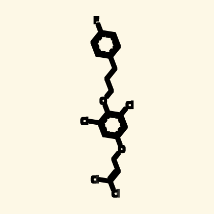 Fc1ccc(CCCOc2c(Cl)cc(OCC=C(Cl)Cl)cc2Cl)cc1